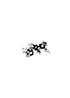 COc1cc(-c2cc(N)c(NC3CCCN(C(=O)O)C3C(C)(C)C)cc2C(F)(F)F)cn2ncnc12